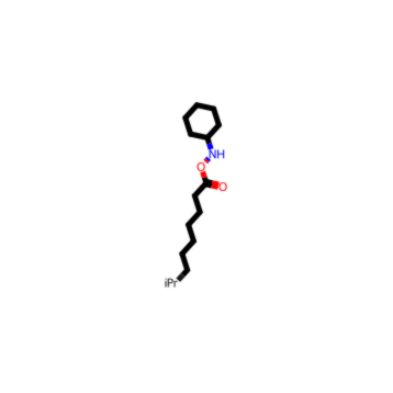 CC(C)CCCCCCC(=O)ONC1CCCCC1